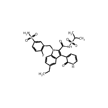 CCc1ccc2c(c1)c(-c1ccc[nH]c1=O)c(C(=O)NS(=O)(=O)C(C)C)n2Cc1cc(S(N)(=O)=O)ccc1F